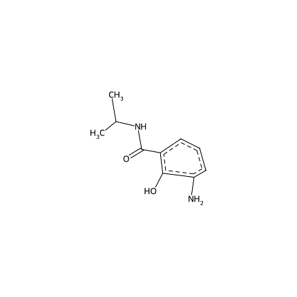 CC(C)NC(=O)c1cccc(N)c1O